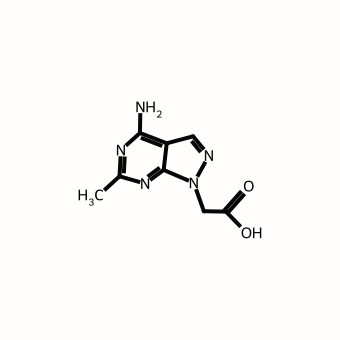 Cc1nc(N)c2cnn(CC(=O)O)c2n1